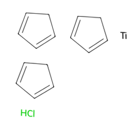 C1=CCC=C1.C1=CCC=C1.C1=CCC=C1.Cl.[Ti]